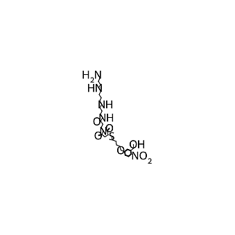 NCCCNCCCCNCCCNC(=O)CCN1C(=O)CC(SCCCCOc2ccc([N+](=O)[O-])c(CO)c2)C1=O